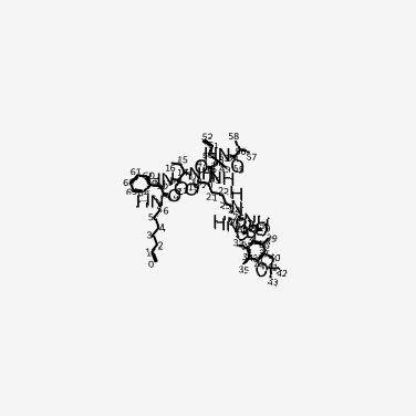 C=CCCCCCNC(=O)C(NC(=O)C(CC)NC(=O)C(CCCNC(=N)NS(=O)(=O)c1c(C)c(C)c2c(c1C)CC(C)(C)O2)NC(=O)C(C)(CC=C)NC(=O)C(C)C)c1ccccc1